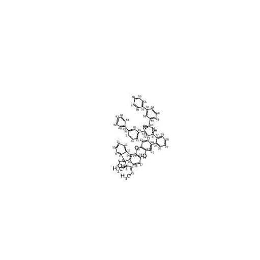 C=C(/C=C\C)C1(CC)c2ccccc2-c2c1ccc1c2Oc2ccc(-c3ccccc3-c3cc(-c4cccc(-c5ccccc5)c4)nc(-c4cccc(-c5ccccc5)c4)n3)cc2O1